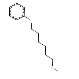 O=C(O)NCCCCCCSc1ccccc1